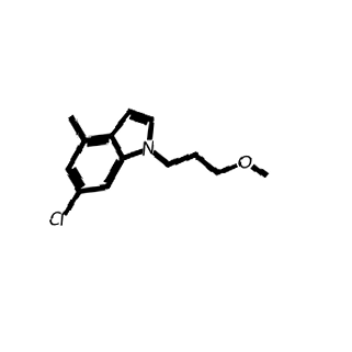 COCCCn1ccc2c(C)cc(Cl)cc21